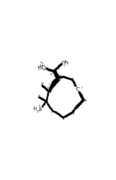 BC1(C)CCCCCC/C(C(O)CCC)=C\1C